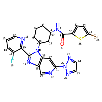 O=C(N[C@H]1CCC[C@@H](n2c(-c3ncccc3F)nc3cnc(-n4nccn4)cc32)C1)c1ccc(Br)s1